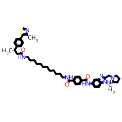 Cc1ncsc1-c1ccc([C@@H](C)CC(=O)NCCCCCCCCCCCCNC(=O)c2ccc(C(=O)Nc3ccc4[nH]c(CN5CCC[C@@H]5C)nc4c3)cc2)cc1